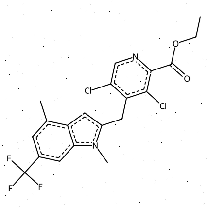 CCOC(=O)c1ncc(Cl)c(Cc2cc3c(C)cc(C(F)(F)F)cc3n2C)c1Cl